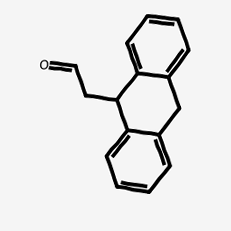 O=CCC1c2ccccc2Cc2ccccc21